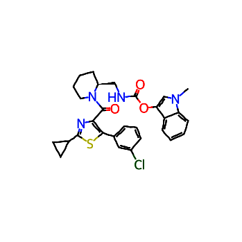 Cn1cc(OC(=O)NC[C@@H]2CCCCN2C(=O)c2nc(C3CC3)sc2-c2cccc(Cl)c2)c2ccccc21